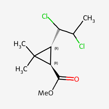 COC(=O)[C@@H]1[C@@H](C(Cl)C(C)Cl)C1(C)C